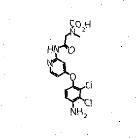 CN(CC(=O)Nc1cc(Oc2ccc(N)c(Cl)c2Cl)ccn1)C(=O)O